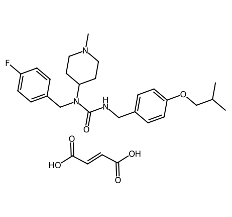 CC(C)COc1ccc(CNC(=O)N(Cc2ccc(F)cc2)C2CCN(C)CC2)cc1.O=C(O)C=CC(=O)O